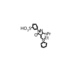 CCCC1=NN(c2cccc(S(=O)(=O)O)c2)C(=O)/C1=C/N(CC)c1ccccc1